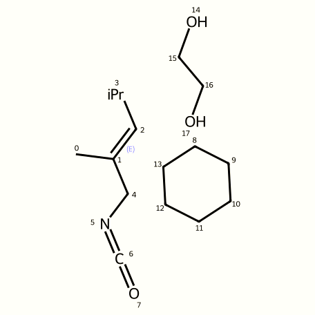 C/C(=C\C(C)C)CN=C=O.C1CCCCC1.OCCO